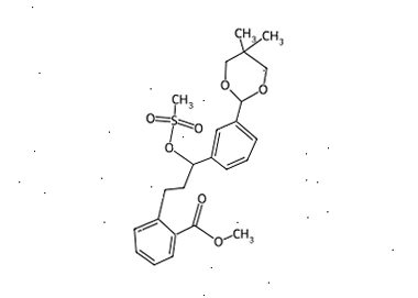 COC(=O)c1ccccc1CCC(OS(C)(=O)=O)c1cccc(C2OCC(C)(C)CO2)c1